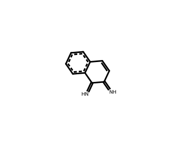 N=C1C=Cc2ccccc2C1=N